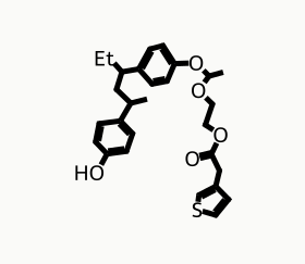 CCC(CC(C)c1ccc(O)cc1)c1ccc(OC(C)OCCOC(=O)Cc2ccsc2)cc1